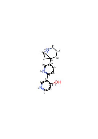 Oc1ccncc1-c1ccc(C23CCCN(CC2)C3)cn1